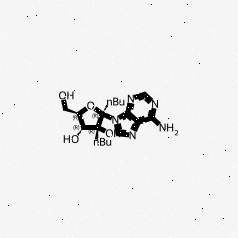 CCCC[C@@]1(O)[C@H](O)[C@@H](CO)O[C@@]1(CCCC)n1cnc2c(N)ncnc21